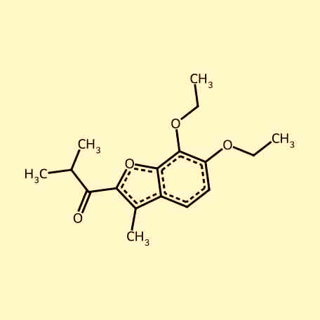 CCOc1ccc2c(C)c(C(=O)C(C)C)oc2c1OCC